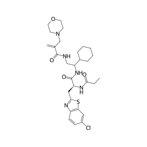 C=C(CN1CCOCC1)C(=O)NCC(NC(=O)[C@H](Cc1nc2ccc(Cl)cc2s1)NC(=O)CC)C1CCCCC1